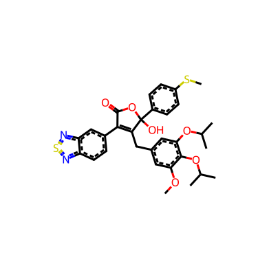 COc1cc(CC2=C(c3ccc4nsnc4c3)C(=O)OC2(O)c2ccc(SC)cc2)cc(OC(C)C)c1OC(C)C